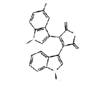 Cn1cc(C2=C(c3cn(C)c4ccc(Cl)cc34)C(=O)NC2=O)c2ccccc21